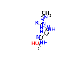 Cc1cn(-c2cncc3[nH]c(-c4n[nH]c5ccc(-c6cncc(NC(O)C7CCCC7)c6)cc45)nc23)cn1